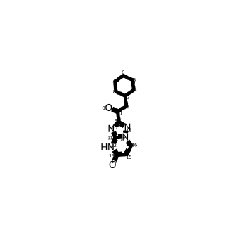 O=C(CC1CCCCC1)c1nc2[nH]c(=O)ccn2n1